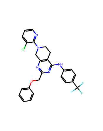 FC(F)(F)c1ccc(Nc2nc(COc3ccccc3)nc3c2CCN(c2ncccc2Cl)C3)cc1